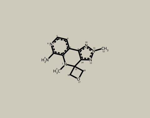 CN1c2c(ccnc2N)-c2nn(C)nc2C12COC2